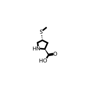 CS[C@H]1CN[C@H](C(=O)O)C1